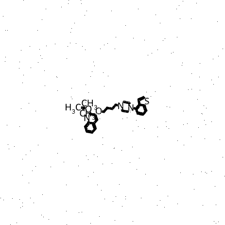 CC(C)(C)Oc1nc2ccccc2cc1OCCCCN1CCN(c2cccc3sccc23)CC1